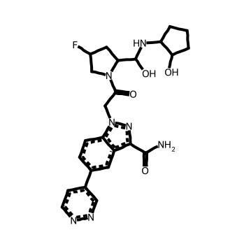 NC(=O)c1nn(CC(=O)N2CC(F)CC2C(O)NC2CCCC2O)c2ccc(-c3ccnnc3)cc12